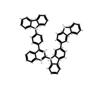 c1ccc2c(-c3ccc(-n4c5ccccc5c5ccccc54)cc3)nc(-n3c4ccccc4c4ccc(-c5ccc6oc7ccccc7c6c5)cc43)nc2c1